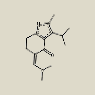 CC(C)c1c2c(nn1C)CC/C(=C/N(C)C)C2=O